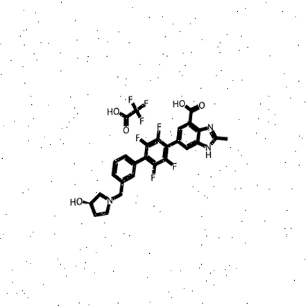 Cc1nc2c(C(=O)O)cc(-c3c(F)c(F)c(-c4cccc(CN5CC[C@@H](O)C5)c4)c(F)c3F)cc2[nH]1.O=C(O)C(F)(F)F